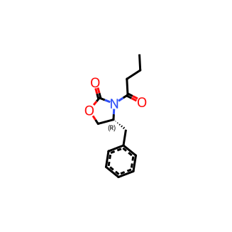 CCCC(=O)N1C(=O)OC[C@H]1Cc1ccccc1